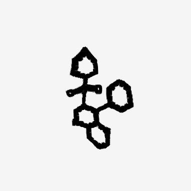 O=S(=O)(c1ccccc1)c1cnc2ccccc2c1-c1ccccc1